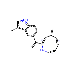 C=C1/C=C\C=C/N/C(C(=C)c2ccc3[nH]cc(C)c3c2)=C\1